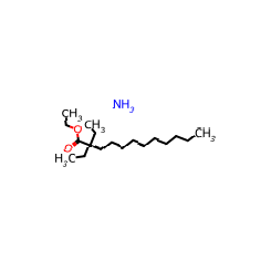 CCCCCCCCCCC(CC)(CC)C(=O)OCC.N